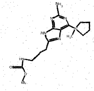 CC(C)(C)OC(=O)NCCCc1nc2c([N+]3(C)CCCC3)nc(N)nc2[nH]1